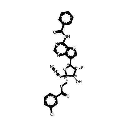 [N-]=[N+]=N[C@@]1(COC(=O)c2cccc(Cl)c2)O[C@@H](c2csc3c(NC(=O)c4ccccc4)ncnc23)[C@H](F)[C@@H]1O